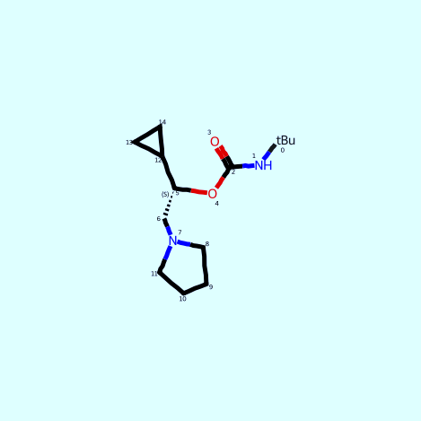 CC(C)(C)NC(=O)O[C@H](CN1CCCC1)C1CC1